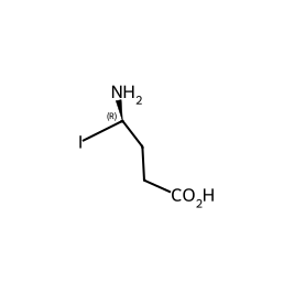 N[C@H](I)CCC(=O)O